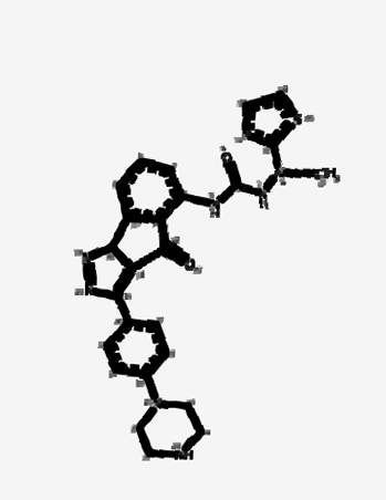 CN(NC(=O)Nc1cccc2c1C(=O)C1=C(c3ccc(N4CCNCC4)cc3)N=NC12)c1nccs1